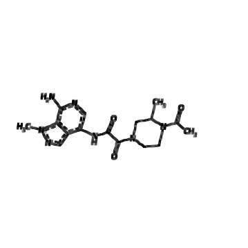 CC(=O)N1CCN(C(=O)C(=O)Nc2cnc(N)c3c2cnn3C)CC1C